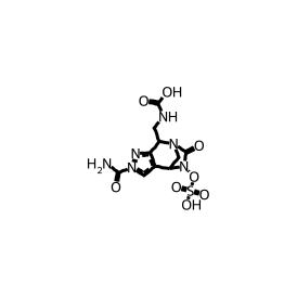 NC(=O)n1cc2c(n1)C(CNC(=O)O)N1CC2N(OS(=O)(=O)O)C1=O